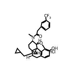 CN(C(=O)Cc1cccc(C(F)(F)F)c1)[C@H]1CC[C@@]2(O)[C@H]3Cc4ccc(O)c5c4[C@@]2(CCN3CC2CC2)[C@H]1O5.Cl